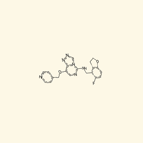 Fc1ccc2c(c1CNc1ncc(OCc3ccncc3)c3nncn13)CCO2